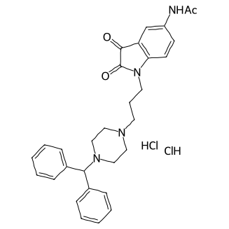 CC(=O)Nc1ccc2c(c1)C(=O)C(=O)N2CCCN1CCN(C(c2ccccc2)c2ccccc2)CC1.Cl.Cl